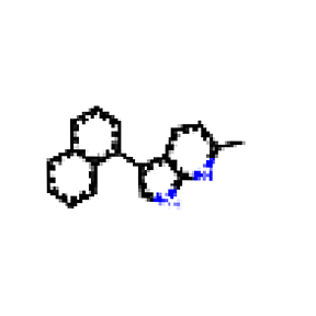 Cc1ccc2c(-c3cccc4ccccc34)c[nH]c2n1